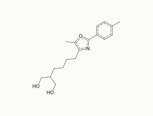 Cc1ccc(-c2nc(CCCCC(CO)CO)c(C)o2)cc1